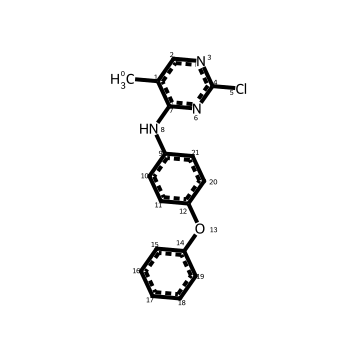 Cc1cnc(Cl)nc1Nc1ccc(Oc2ccccc2)cc1